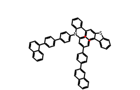 c1cc(-c2ccc(-c3ccc4ccccc4c3)cc2)cc(N(c2ccc(-c3ccc(-c4cccc5ccccc45)cc3)cc2)c2ccccc2-c2ccc3c(c2)sc2ccccc23)c1